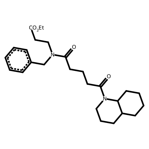 CCOC(=O)CCN(Cc1ccccc1)C(=O)CCCC(=O)N1CCCC2CCCCC21